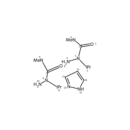 CNC(=O)N(N)C(C)C.CNC(=O)N(N)C(C)C.c1cn[nH]c1